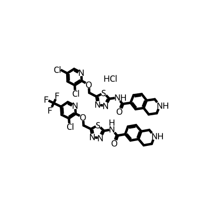 Cl.O=C(Nc1nnc(COc2ncc(C(F)(F)F)cc2Cl)s1)c1ccc2c(c1)CCNC2.O=C(Nc1nnc(COc2ncc(Cl)cc2Cl)s1)c1ccc2c(c1)CCNC2